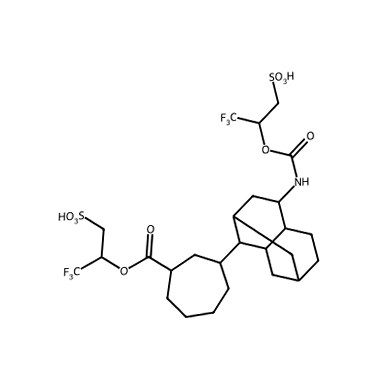 O=C(NC1CC2CC3CCC1C(C3)C2C1CCCCC(C(=O)OC(CS(=O)(=O)O)C(F)(F)F)C1)OC(CS(=O)(=O)O)C(F)(F)F